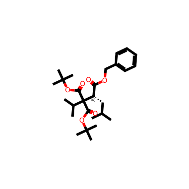 CC(C)C[C@@H](C(=O)OCc1ccccc1)C(C(=O)OC(C)(C)C)(C(=O)OC(C)(C)C)C(C)C